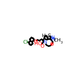 Cc1nn(C)c2c1-c1cccc3c(CCCOc4cccc5c(Cl)cccc45)c(C(=O)O)n(c13)CCCCOC2